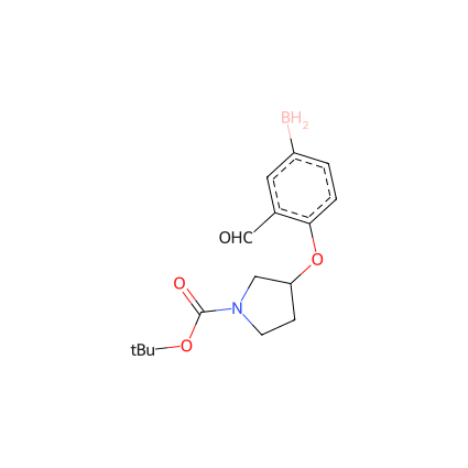 Bc1ccc(OC2CCN(C(=O)OC(C)(C)C)C2)c(C=O)c1